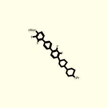 CCCCCCCCCc1ccc(-c2ccc(-c3ccc(C4CCC(C5CCC(CCC)CC5)CC4)c(F)c3F)cc2)c(F)c1F